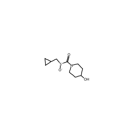 O=C(N1CCC(O)CC1)[S+]([O-])CC1CC1